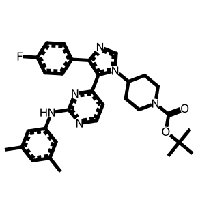 Cc1cc(C)cc(Nc2nccc(-c3c(-c4ccc(F)cc4)ncn3C3CCN(C(=O)OC(C)(C)C)CC3)n2)c1